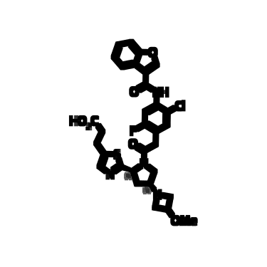 COC1CN([C@H]2C[C@@H](c3ncc(CCC(=O)O)s3)N(C(=O)Cc3cc(Cl)c(NC(=O)c4coc5ccccc45)cc3F)C2)C1